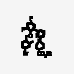 CCOC(=O)C1CCN(c2cccc(-c3cc(F)cc(F)c3OCc3ccc(Br)cc3C)n2)CC1